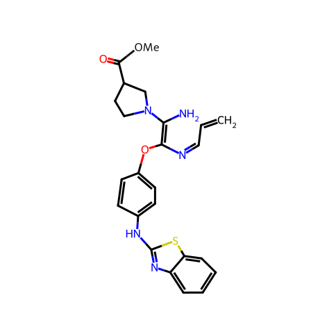 C=C/C=N\C(Oc1ccc(Nc2nc3ccccc3s2)cc1)=C(/N)N1CCC(C(=O)OC)C1